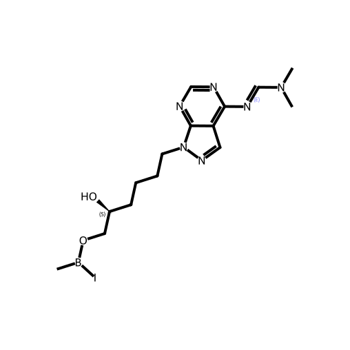 CB(I)OC[C@@H](O)CCCCn1ncc2c(/N=C/N(C)C)ncnc21